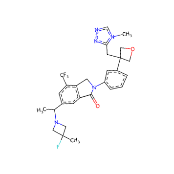 CC(c1cc2c(c(C(F)(F)F)c1)CN(c1cccc(C3(Cc4nncn4C)COC3)c1)C2=O)N1CC(C)(F)C1